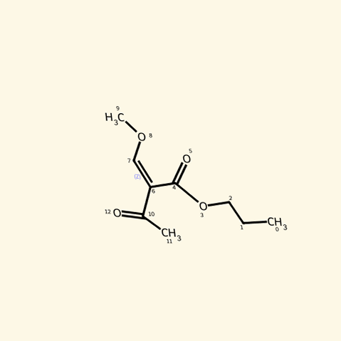 CCCOC(=O)/C(=C\OC)C(C)=O